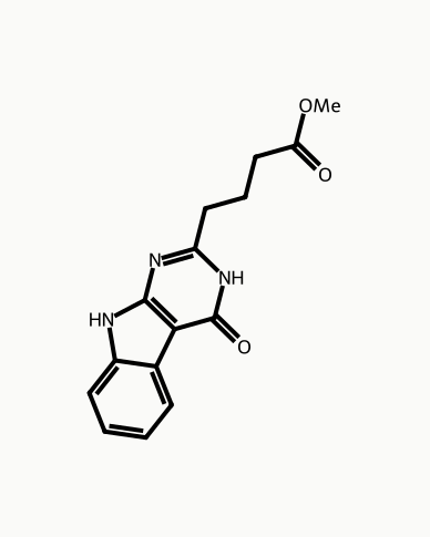 COC(=O)CCCc1nc2[nH]c3ccccc3c2c(=O)[nH]1